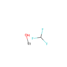 CCO.FC(F)F